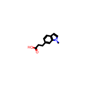 Cn1ccc2ccc(CCC(=O)O)cc21